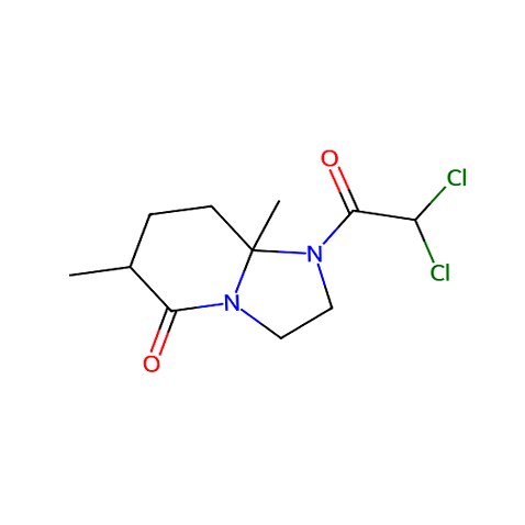 CC1CCC2(C)N(C(=O)C(Cl)Cl)CCN2C1=O